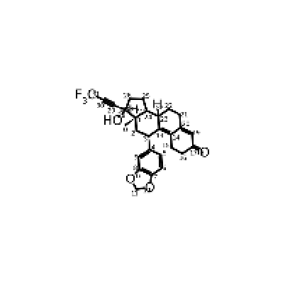 C[C@]12C[C@H](c3ccc4c(c3)OCO4)C3=C4CCC(=O)C=C4CC[C@H]3[C@@H]1CC[C@@]2(O)C#CC(F)(F)F